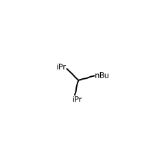 CCCC[C](C(C)C)C(C)C